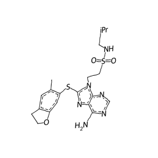 Cc1cc2c(cc1Sc1nc3c(N)ncnc3n1CCS(=O)(=O)NCC(C)C)OCC2